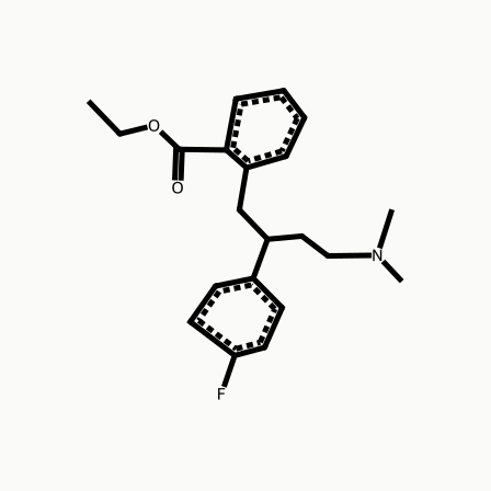 CCOC(=O)c1ccccc1CC(CCN(C)C)c1ccc(F)cc1